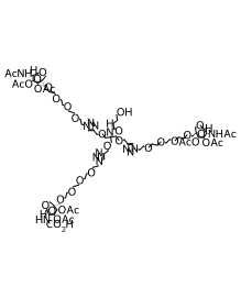 CC(=O)N[C@H]1[C@H]2OC[C@](COCCOCCOCCOCCn3cc(COCC(COCc4cn(CCOCCOCCOCCOC[C@@]56CO[C@@H](O5)[C@H](NC(C)=O)[C@@H](OC(C)=O)[C@H]6OC(C)=O)nn4)(COCc4cn(CCOCCOCCOCCOC[C@@]56CO[C@@H](O5)[C@H](NC(=O)O)[C@@H](OC(C)=O)[C@H]6OC(C)=O)nn4)NC(=O)CCCO)nn3)(O2)[C@H](OC(C)=O)[C@@H]1OC(C)=O